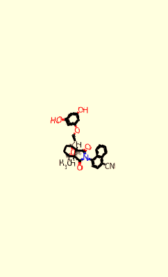 C[C@]12CC[C@](CCOc3cc(O)cc(O)c3)(O1)[C@@H]1C(=O)N(c3ccc(C#N)c4ccccc34)C(=O)[C@@H]12